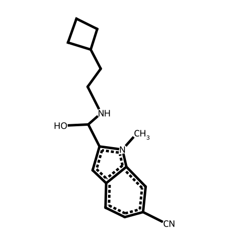 Cn1c(C(O)NCCC2CCC2)cc2ccc(C#N)cc21